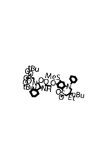 CCCCC1(CC)CN(c2ccccc2)c2cc(SC)c(OCC(=O)N[C@@H](C(=O)NCP(=O)(OOC(C)(C)C)OOC(C)(C)C)c3ccccc3)cc2S(=O)(=O)C1